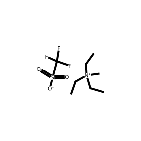 CC[N+](C)(CC)CC.O=S(=O)([O-])C(F)(F)F